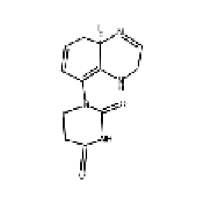 O=C1CCN(C2=C3NCC=N[C@@H]3CC=C2)C(=O)N1